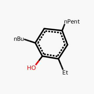 CCCCCc1cc(CC)c(O)c(CCCC)c1